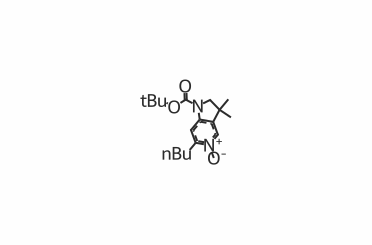 CCCCc1cc2c(c[n+]1[O-])C(C)(C)CN2C(=O)OC(C)(C)C